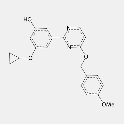 COc1ccc(COc2ccnc(-c3cc(O)cc(OC4CC4)c3)n2)cc1